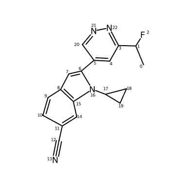 CC(F)c1cc(-c2cc3ccc(C#N)cc3n2C2CC2)cnn1